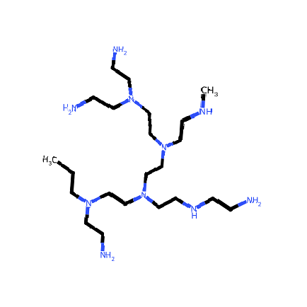 CCCN(CCN)CCN(CCNCCN)CCN(CCNC)CCN(CCN)CCN